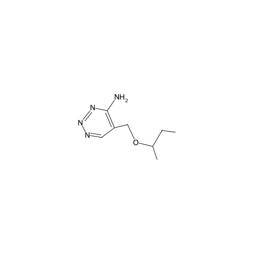 CCC(C)OCc1cnnnc1N